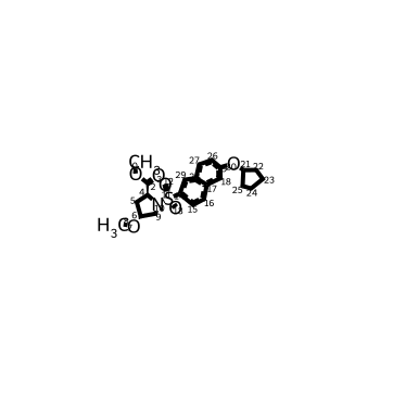 COC(=O)[C@@H]1C[C@@H](OC)CN1S(=O)(=O)c1ccc2cc(OC3CCCC3)ccc2c1